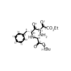 CCOC(=O)C(=O)N(N)C(=O)[C@@H](Cc1ccccc1)NCC(=O)OC(C)(C)C